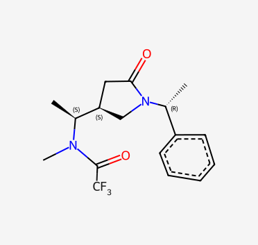 C[C@H](c1ccccc1)N1C[C@@H]([C@H](C)N(C)C(=O)C(F)(F)F)CC1=O